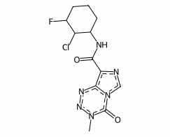 Cn1nnc2c(C(=O)NC3CCCC(F)C3Cl)ncn2c1=O